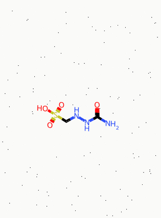 NC(=O)NNCS(=O)(=O)O